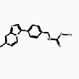 CC(C)(C)OC(=O)NCc1ccc(-c2cnc3cc(Cl)ccn23)cc1